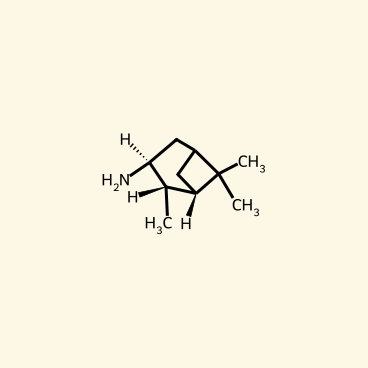 C[C@@H]1[C@@H](N)CC2C[C@@H]1C2(C)C